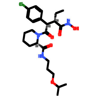 CC[C@H](C(=O)NO)[C@H](C(=O)N1CCCC[C@H]1C(=O)NCCCOC(C)C)c1ccc(Cl)cc1